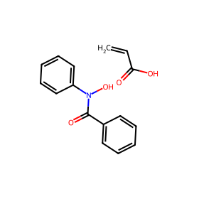 C=CC(=O)O.O=C(c1ccccc1)N(O)c1ccccc1